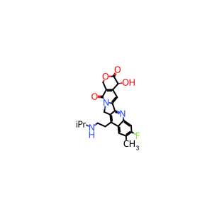 Cc1cc2c(CCNC(C)C)c3c(nc2cc1F)-c1cc2c(c(=O)n1C3)COC(=O)[C@H]2O